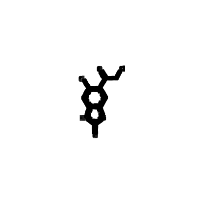 O=C(CCl)c1cc2sc(=O)[nH]c2cc1Cl